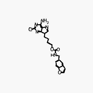 Nc1nc(Cl)nc2c1N=CC2CCCCOC(=O)NCc1ccc2occc2c1